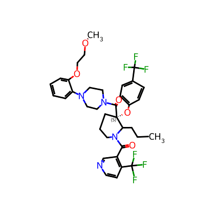 CCCC1N(C(=O)c2cnccc2C(F)(F)F)CCC[C@@]1(Oc1ccc(C(F)(F)F)cc1)C(=O)N1CCN(c2ccccc2OCCOC)CC1